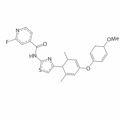 COC1C=CC(OC2=CC(C)C(c3csc(NC(=O)c4ccnc(F)c4)n3)C(C)=C2)=CC1